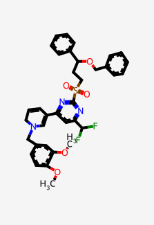 COc1ccc(CN2C=C(c3cc(C(F)F)nc(S(=O)(=O)CCC(OCc4ccccc4)c4ccccc4)n3)C=CC2)cc1OC